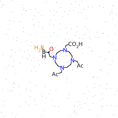 CC(=O)CN1CCN(CC(C)=O)CCN(CC(=O)BP)CCN(CC(=O)O)CC1